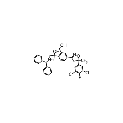 OCc1cc(C2=NOC(c3cc(Cl)c(F)c(Cl)c3)(C(F)(F)F)C2)ccc1C1(O)CN(C(c2ccccc2)c2ccccc2)C1